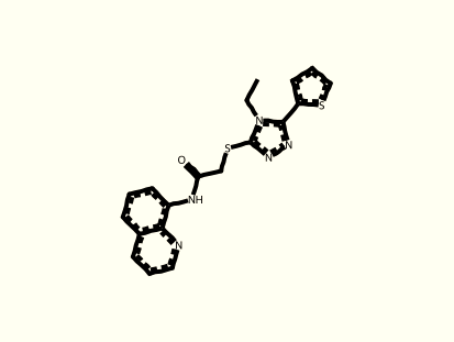 CCn1c(SCC(=O)Nc2cccc3cccnc23)nnc1-c1cccs1